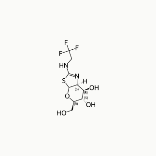 OC[C@H]1OC2SC(NCC(F)(F)F)=N[C@H]2[C@@H](O)[C@@H]1O